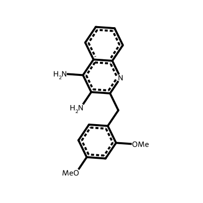 COc1ccc(Cc2nc3ccccc3c(N)c2N)c(OC)c1